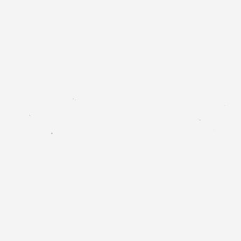 CN1CCC1(O)c1ccc(-c2ccc(C3OC(C)(C)N(C(=O)C(F)F)C3CF)cc2)cn1